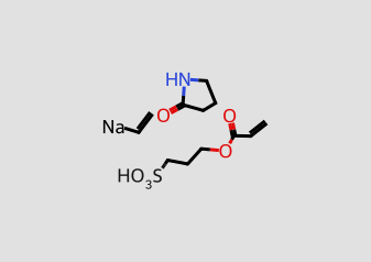 C=CC(=O)OCCCS(=O)(=O)O.C=[CH][Na].O=C1CCCN1